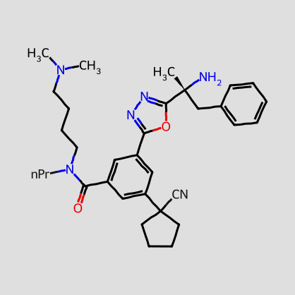 CCCN(CCCCN(C)C)C(=O)c1cc(-c2nnc([C@](C)(N)Cc3ccccc3)o2)cc(C2(C#N)CCCC2)c1